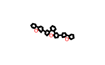 c1ccc2c(c1)-c1cc(-c3ccc4c(c3)oc3ccccc34)ccc1Oc1ccc(-c3ccc4c(c3)oc3ccccc34)cc1-2